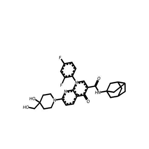 O=C(NC12CC3CC(C1)C(C3)C2)c1cn(-c2ccc(F)cc2F)c2nc(N3CCC(O)(CO)CC3)ccc2c1=O